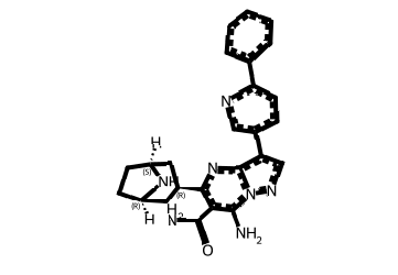 NC(=O)c1c([C@H]2C[C@H]3CC[C@@H](C2)N3)nc2c(-c3ccc(-c4ccccc4)nc3)cnn2c1N